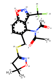 CC(=O)N(C(C)=O)c1c(CSC2=NOC(C)(C)C2)ccc2onc(C(F)(F)F)c12